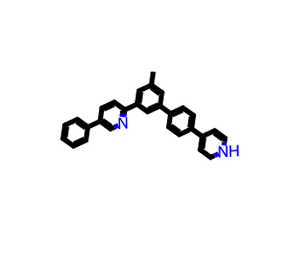 Cc1cc(-c2ccc(C3=CCNC=C3)cc2)cc(-c2ccc(-c3ccccc3)cn2)c1